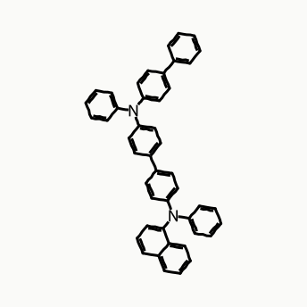 c1ccc(-c2ccc(N(c3ccccc3)c3ccc(-c4ccc(N(c5ccccc5)c5cccc6ccccc56)cc4)cc3)cc2)cc1